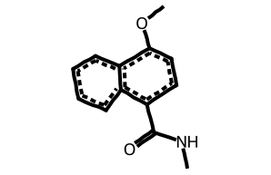 CNC(=O)c1ccc(OC)c2ccccc12